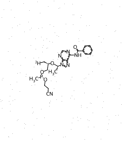 [2H]C[C@H](COP(C)OCCC#N)O[C@H](C)n1cnc2c(NC(=O)c3ccccc3)ncnc21